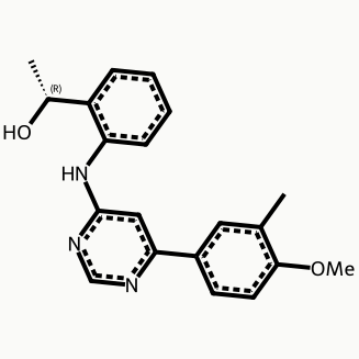 COc1ccc(-c2cc(Nc3ccccc3[C@@H](C)O)ncn2)cc1C